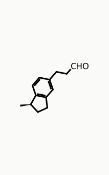 C[C@@H]1CCc2cc(CCC=O)ccc21